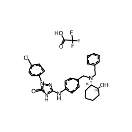 O=C(O)C(F)(F)F.O=c1[nH]c(Nc2ccc(CN(Cc3ccccc3)[C@H]3CCCC[C@@H]3O)cc2)nn1-c1ccc(Cl)cc1